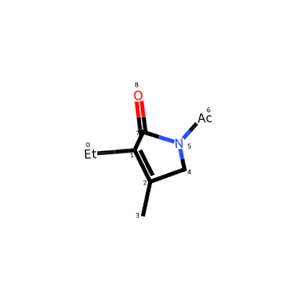 CCC1=C(C)CN(C(C)=O)C1=O